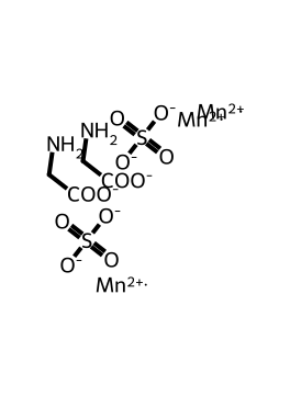 NCC(=O)[O-].NCC(=O)[O-].O=S(=O)([O-])[O-].O=S(=O)([O-])[O-].[Mn+2].[Mn+2].[Mn+2]